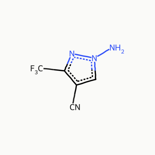 N#Cc1cn(N)nc1C(F)(F)F